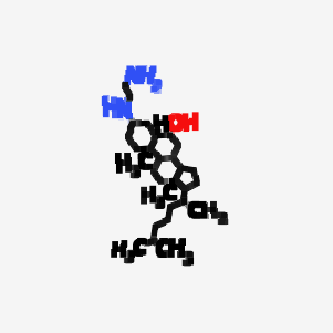 CC(C)CCC[C@@H](C)C1CCC2C3C[C@@H](O)[C@H]4C[C@@H](NCCN)CC[C@]4(C)C3CC[C@@]21C